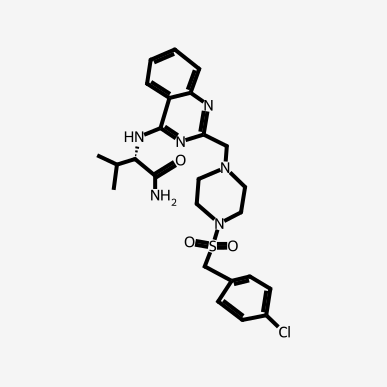 CC(C)[C@H](Nc1nc(CN2CCN(S(=O)(=O)Cc3ccc(Cl)cc3)CC2)nc2ccccc12)C(N)=O